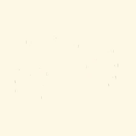 C=CC(CC)c1c(B2OC(C)(C)C(C)(C)O2)sc(B2OC(C)(C)C(C)(C)O2)c1C